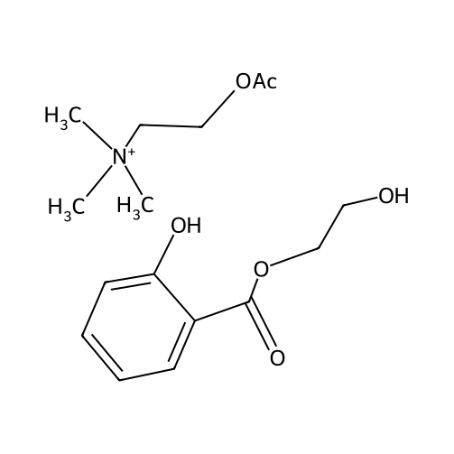 CC(=O)OCC[N+](C)(C)C.O=C(OCCO)c1ccccc1O